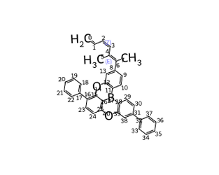 C=C/C=C\C(C)=C(/C)c1ccc2c(c1)Oc1c(-c3ccccc3)ccc3c1B2c1ccc(-c2ccccc2)cc1O3